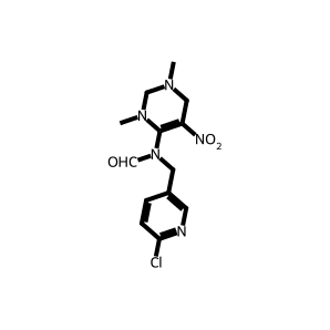 CN1CC([N+](=O)[O-])=C(N(C=O)Cc2ccc(Cl)nc2)N(C)C1